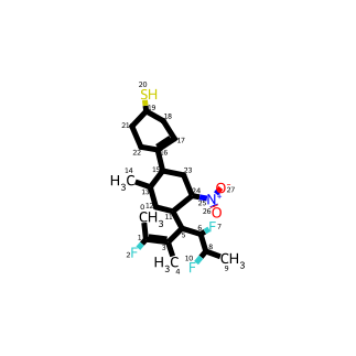 C/C(F)=C(/C)C(C(F)C(C)F)C1CC(C)C(C2=CCC(S)CC2)CC1[N+](=O)[O-]